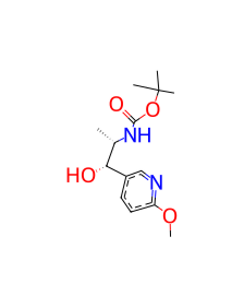 COc1ccc([C@H](O)[C@H](C)NC(=O)OC(C)(C)C)cn1